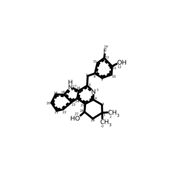 CC1(C)Cc2nc(Cc3ccc(O)c(F)c3)c3[nH]c4ccccc4c3c2C(O)C1